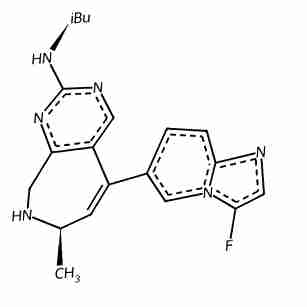 CC[C@H](C)Nc1ncc2c(n1)CN[C@H](C)C=C2c1ccc2ncc(F)n2c1